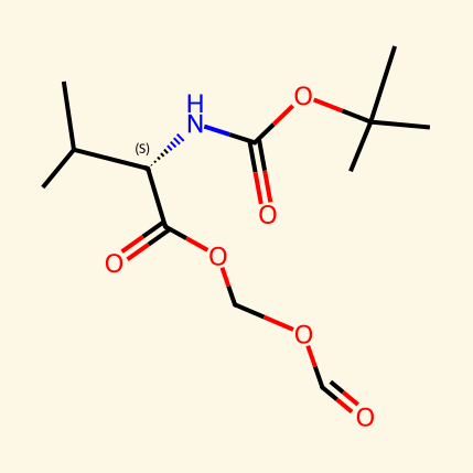 CC(C)[C@H](NC(=O)OC(C)(C)C)C(=O)OCOC=O